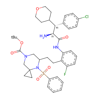 CC(C)(C)OC(=O)N1CC(CCc2c(F)cccc2NC(=O)[C@@H](N)[C@@H](c2ccc(Cl)cc2)C2CCOCC2)N(S(=O)(=O)c2ccccc2)C2(CC2)C1